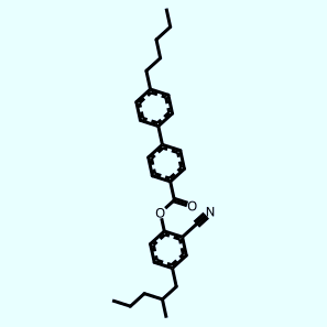 CCCCCc1ccc(-c2ccc(C(=O)Oc3ccc(CC(C)CCC)cc3C#N)cc2)cc1